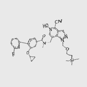 CN(Cc1c[n+](O)c(C#N)c2cnn(COCC[Si](C)(C)C)c12)C(=O)c1ccc(-c2cccc(F)c2)c(OC2CC2)c1